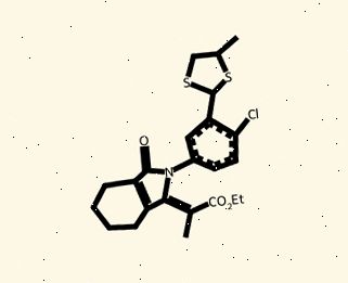 CCOC(=O)C(C)=C1C2=C(CCCC2)C(=O)N1c1ccc(Cl)c(C2SCC(C)S2)c1